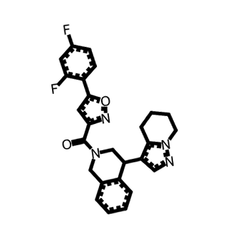 O=C(c1cc(-c2ccc(F)cc2F)on1)N1Cc2ccccc2C(c2cnn3c2CCCC3)C1